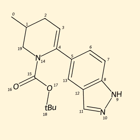 CC1CC=C(c2ccc3[nH]ncc3c2)N(C(=O)OC(C)(C)C)C1